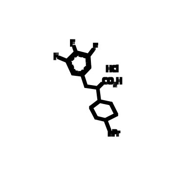 CCCC1CCC(C(Cc2cc(F)c(F)c(F)c2)C(=O)O)CC1.Cl